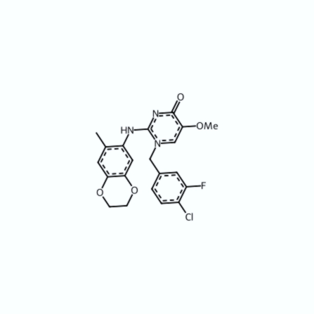 COc1cn(Cc2ccc(Cl)c(F)c2)c(Nc2cc3c(cc2C)OCCO3)nc1=O